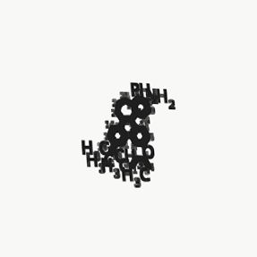 CCCC(CC)Oc1ccc(C2=C(c3ccc(C(C)(C)C)cc3)CCCc3c2ccc(N)c3P)cc1